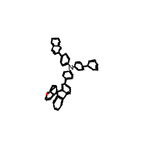 c1ccc(-c2ccc(N(c3ccc(-c4ccc5c(c4)C4(c6ccccc6-5)C5CC6CC(C5)C4C6)cc3)c3ccc(-c4ccc5ccccc5c4)cc3)cc2)cc1